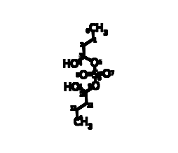 CCCC(O)OS(=O)(=O)OC(O)CCC